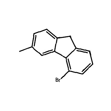 Cc1ccc2c(c1)-c1c(Br)cccc1C2